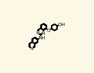 OC1CCC(Oc2cccc3cnc(Nc4ccc5ccncc5c4)nc23)CC1